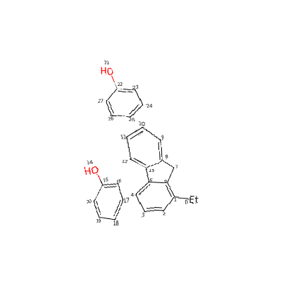 CCc1cccc2c1Cc1ccccc1-2.Oc1ccccc1.Oc1ccccc1